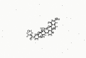 CC1COCCN1C(=O)c1ccc(Nc2cc(-c3ccnc(-n4ncc5cc(C(C)(C)C)cc(F)c5c4=O)c3C=O)cn(C)c2=O)nc1